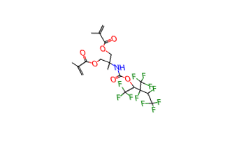 C=C(C)C(=O)OCC(C)(COC(=O)C(=C)C)NC(=O)OC(C(F)(F)F)C(F)(C(F)C(F)(F)F)C(F)(F)F